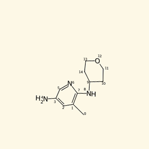 Cc1cc(N)cnc1NC1CCOCC1